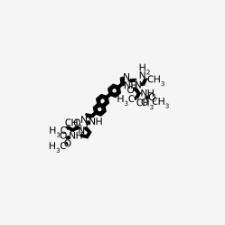 COC(=O)NC(C(=O)N1CCC[C@H]1c1ncc(-c2ccc3cc(-c4ccc(-c5cnc(CN(C[C@@H](C)N)C(=O)[C@@H](NC(=O)OC)C(C)C)[nH]5)cc4)ccc3c2)[nH]1)C(C)C